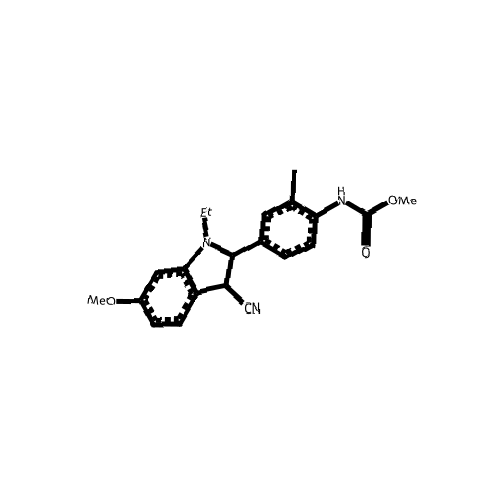 CCN1c2cc(OC)ccc2C(C#N)C1c1ccc(NC(=O)OC)c(C)c1